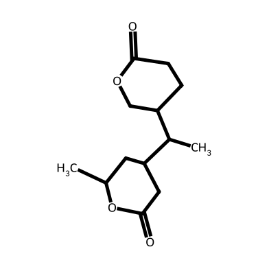 CC1CC(C(C)C2CCC(=O)OC2)CC(=O)O1